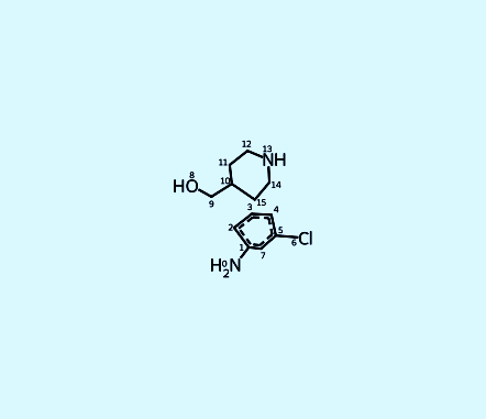 Nc1cccc(Cl)c1.OCC1CCNCC1